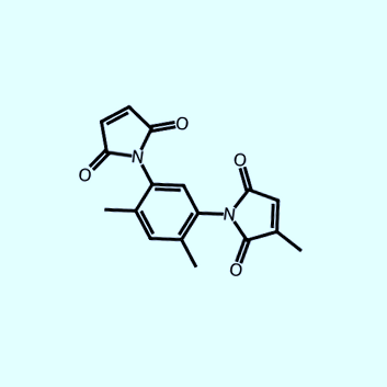 CC1=CC(=O)N(c2cc(N3C(=O)C=CC3=O)c(C)cc2C)C1=O